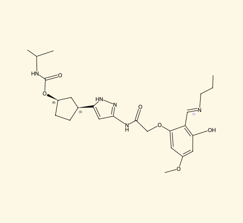 CCC/N=C/c1c(O)cc(OC)cc1OCC(=O)Nc1cc([C@H]2CC[C@@H](OC(=O)NC(C)C)C2)[nH]n1